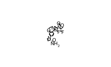 NC(=O)[C@@H]1CCN1c1ccc2c(c1)OCCn1cc(N3C(=O)OC[C@H]3C(F)F)nc1-2